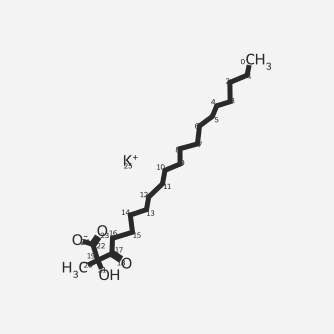 CCCCCCCCCCCCCCCCCC(=O)C(C)(O)C(=O)[O-].[K+]